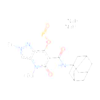 CCCCn1c(=O)c(C(=O)NC23CC4CC(CC(C4)C2)C3)c(OP=O)c2nn(CC)cc21.[NaH].[NaH]